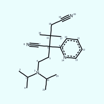 CC(C)N(CCC(C#N)(c1ccccn1)C(C)(C)CC#N)C(C)C